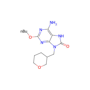 CCCCOc1nc(N)c2[nH]c(=O)n(CC3CCCOC3)c2n1